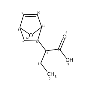 CCC(C(=O)O)C1CC2C=CC1O2